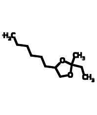 [CH2]CCCCCC1COC(C)(CC)O1